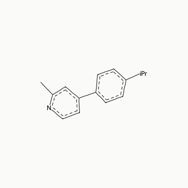 Cc1cc(-c2ccc(C(C)C)cc2)ccn1